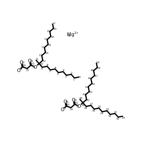 CCCCCCCCCCC(C)(CCCCCCCCCC)OC(=O)CC(=O)[O-].CCCCCCCCCCC(C)(CCCCCCCCCC)OC(=O)CC(=O)[O-].[Mg+2]